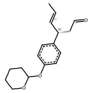 C/C=C/[C@H](CC=O)c1ccc(OC2CCCCO2)cc1